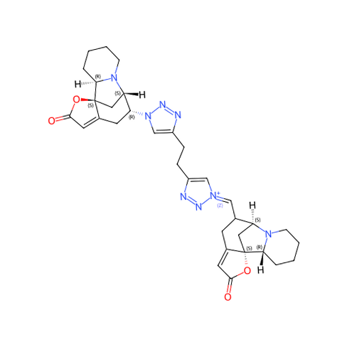 O=C1C=C2CC(/C=[N+]3/C=C(CCc4cn([C@@H]5CC6=CC(=O)O[C@@]67C[C@@H]5N5CCCC[C@@H]57)nn4)N=N3)[C@@H]3C[C@@]2(O1)[C@H]1CCCCN31